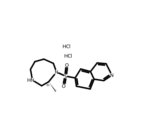 C[C@@H]1CNCCCCN1S(=O)(=O)c1ccc2cnccc2c1.Cl.Cl